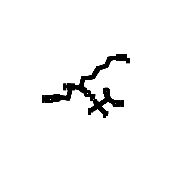 C#CCNC(=O)CCCCCN.O=C(O)C(F)(F)F